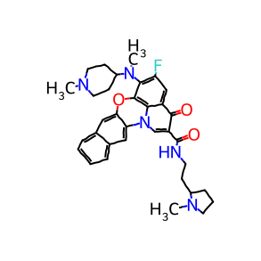 CN1CCC(N(C)c2c(F)cc3c(=O)c(C(=O)NCCC4CCCN4C)cn4c3c2Oc2cc3ccccc3cc2-4)CC1